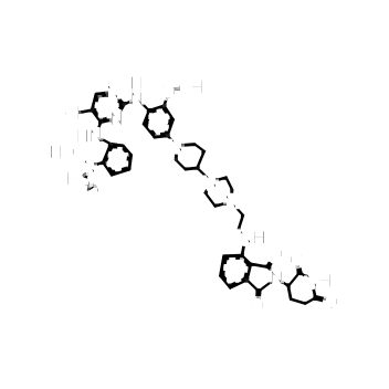 COc1cc(N2CCC(N3CCN(CCNc4cccc5c4C(=O)N(C4CCC(=O)NC4=O)C5=O)CC3)CC2)ccc1Nc1ncc(Cl)c(Nc2ccccc2N(C)[SH]=O)n1